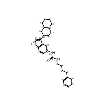 O=C(NCCCCc1ccccc1)Nc1ccc2[nH]nc(C3=CCN4CCCCC4C3)c2c1